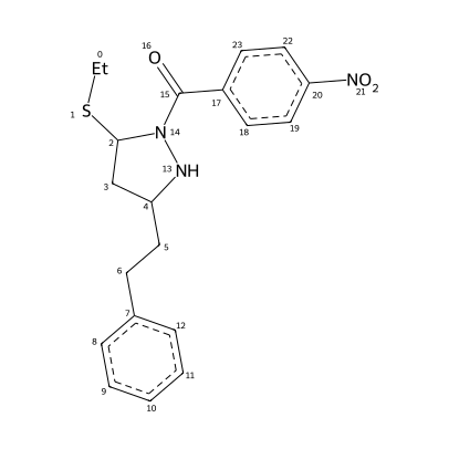 CCSC1CC(CCc2ccccc2)NN1C(=O)c1ccc([N+](=O)[O-])cc1